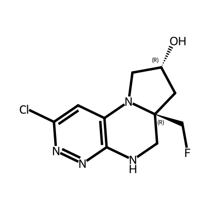 O[C@H]1CN2c3cc(Cl)nnc3NC[C@@]2(CF)C1